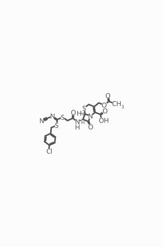 CC(=O)OCC1=C(C(=O)O)N2C(=O)[C@@H](NC(=O)CSC(=NC#N)SCc3ccc(Cl)cc3)[C@H]2SC1